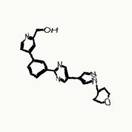 OCc1cc(-c2cccc(-c3ncc(-c4cnn(C5CCOCC5)c4)cn3)c2)ccn1